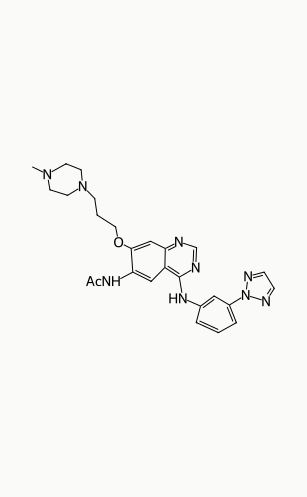 CC(=O)Nc1cc2c(Nc3cccc(-n4nccn4)c3)ncnc2cc1OCCCN1CCN(C)CC1